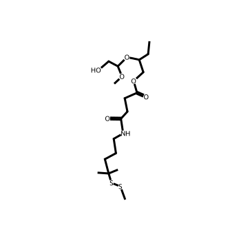 CCC(COC(=O)CCC(=O)NCCCC(C)(C)SSC)OC(CO)OC